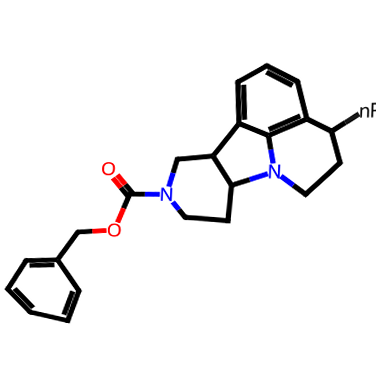 CCCC1CCN2c3c1cccc3C1CN(C(=O)OCc3ccccc3)CCC12